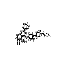 COCCN1CCC(c2ccc(Nc3nc(-c4cncnc4)cc4cc[nH]c(=O)c34)cc2F)CC1